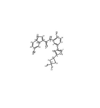 O=C(Nc1cc(-c2noc(C3CC(F)(F)C3)n2)ccc1F)c1cnc2ccc(Br)cn12